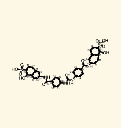 O=C(Nc1ccc(C(=O)Nc2ccc3c(O)c(S(=O)(=O)O)ccc3c2)cc1)Nc1ccc(C(=O)Nc2ccc3c(O)c(S(=O)(=O)O)ccc3c2)cc1